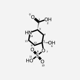 O=C(O)[C@@H]1C[C@@](O)(OS(=O)(=O)O)CCN1